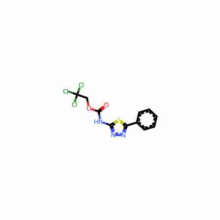 O=C(Nc1nnc(-c2ccccc2)s1)OCC(Cl)(Cl)Cl